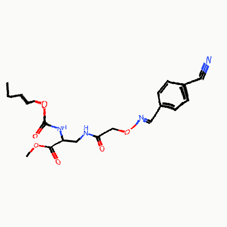 CCCCOC(=O)NC(CNC(=O)CO/N=C/c1ccc(C#N)cc1)C(=O)OC